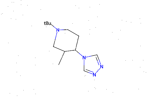 CC1CN(C(C)(C)C)CCC1n1cnnc1